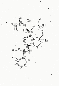 CCC1(O)CC[C@H]2CC[C@@H](C(=O)N[C@@H]3CCCc4ccccc43)N2C(=O)[C@@H](NC(=O)[C@H](C)NC)C1